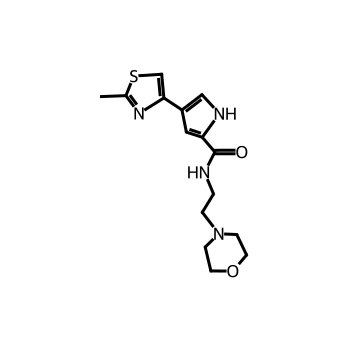 Cc1nc(-c2c[nH]c(C(=O)NCCN3CCOCC3)c2)cs1